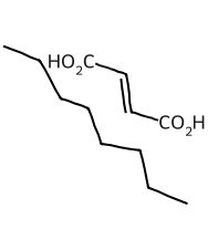 CCCCCCCC.O=C(O)C=CC(=O)O